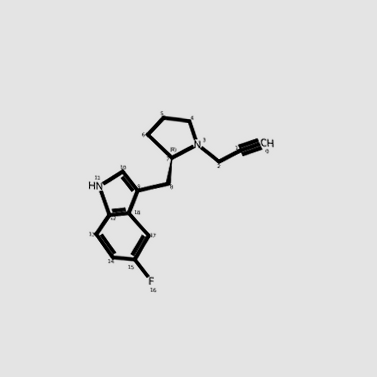 C#CCN1CCC[C@@H]1Cc1c[nH]c2ccc(F)cc12